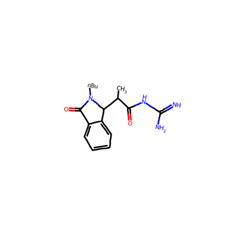 CCCCN1C(=O)c2ccccc2C1C(C)C(=O)NC(=N)N